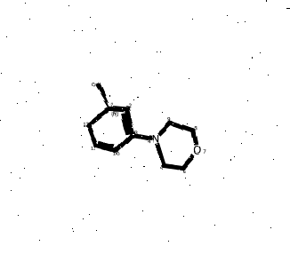 C[C@H]1C=C(N2CCOCC2)C=CC1